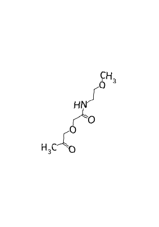 COCCNC(=O)COCC(C)=O